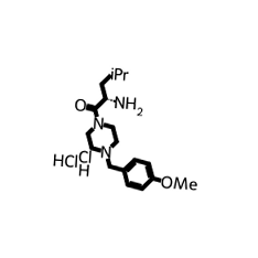 COc1ccc(CN2CCN(C(=O)[C@@H](N)CC(C)C)CC2)cc1.Cl.Cl